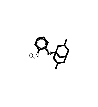 CC1CC2CC(C)CC(Nc3ccccc3[N+](=O)[O-])(C1)C2